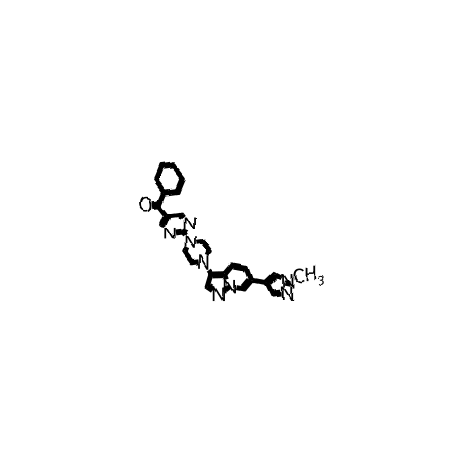 Cn1cc(-c2ccc3c(N4CCN(c5ncc(C(=O)C6CCCCC6)cn5)CC4)cnn3c2)cn1